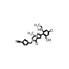 CCNc1cc(Cl)cc(CO)c1-c1cc2n(n1)[C@@H](C)CN(Cc1ccc(C#N)cc1)C2=O